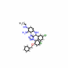 C=CNc1ccc(NC(c2cc(Br)cc(Br)c2)c2nnnn2-c2ccccc2OCc2ccccc2)cc1N